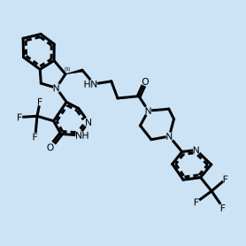 O=C(CCNC[C@@H]1c2ccccc2CN1c1cn[nH]c(=O)c1C(F)(F)F)N1CCN(c2ccc(C(F)(F)F)cn2)CC1